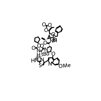 C=C[C@@H]1C[C@]1(NC(=O)[C@@H]1C[C@@H](Oc2cc(-c3csc(NC(C)C)n3)nc3cc(OC)ccc23)CN1C(=O)[C@@H](NC(=O)OC1CCCC1)C(C)(C)C)P(=O)(Cc1ccccc1)OCc1oc(=O)oc1C